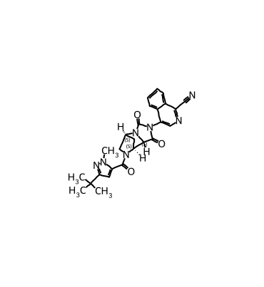 Cn1nc(C(C)(C)C)cc1C(=O)N1C[C@@H]2C[C@H]1[C@H]1C(=O)N(c3cnc(C#N)c4ccccc34)C(=O)N21